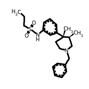 CCCS(=O)(=O)Nc1cccc([C@@]2(C)CCN(Cc3ccccc3)C[C@@H]2C)c1